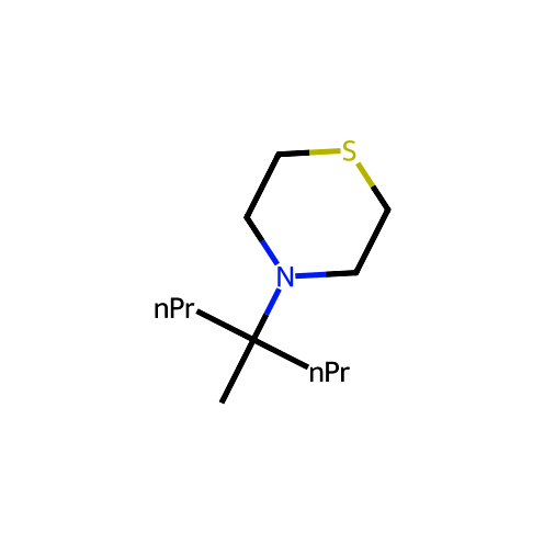 CCCC(C)(CCC)N1CCSCC1